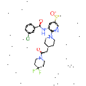 C[S+]([O-])c1cnc(N2CCC(CC(=O)N3CCC(F)(F)CC3)CC2)c(NC(=O)c2cccc(Cl)c2)c1